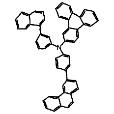 c1cc(-c2cccc3ccccc23)cc(N(c2ccc(-c3ccc4ccc5ccccc5c4c3)cc2)c2ccc3c4ccccc4c4ccccc4c3c2)c1